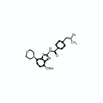 COc1ccc(N2CCOCC2)c2sc(NC(=O)c3ccc(CN(C)C(C)=O)cc3)nc12